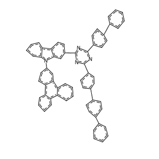 c1ccc(-c2ccc(-c3ccc(-c4nc(-c5ccc(-c6ccccc6)cc5)nc(-c5ccc6c7ccccc7n(-c7ccc8c9ccccc9c9ccccc9c8c7)c6c5)n4)cc3)cc2)cc1